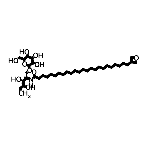 CC[C@@H](O)[C@@H](O)[C@H](COC1OC(CO)C(O)C(O)C1O)NC(=O)CCCCCCCCCCCCCCCCCCCCCCCC1COC1